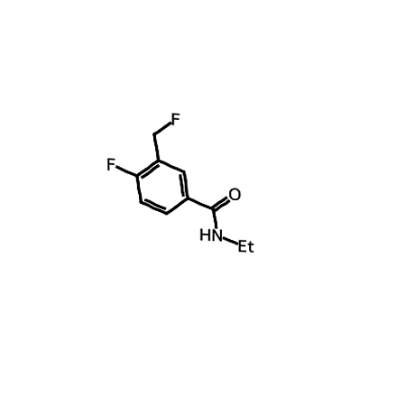 CCNC(=O)c1ccc(F)c(CF)c1